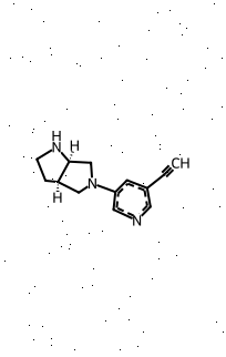 C#Cc1cncc(N2C[C@H]3CCN[C@H]3C2)c1